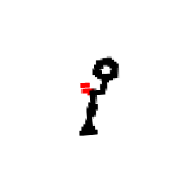 O=C(C#CC1CC1)Cc1ccccc1